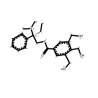 CC[C@](COC(=O)c1cc(CO)c(CO)c(CO)c1)(c1ccccc1)N(C)C